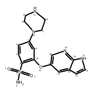 NS(=O)(=O)c1ccc(N2CCNCC2)cc1Oc1cnc2[nH]ccc2c1